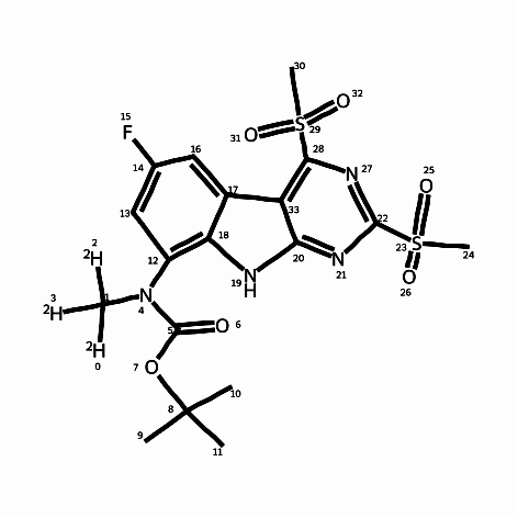 [2H]C([2H])([2H])N(C(=O)OC(C)(C)C)c1cc(F)cc2c1[nH]c1nc(S(C)(=O)=O)nc(S(C)(=O)=O)c12